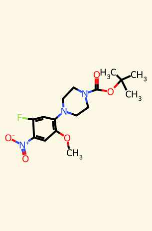 COc1cc([N+](=O)[O-])c(F)cc1N1CCN(C(=O)OC(C)(C)C)CC1